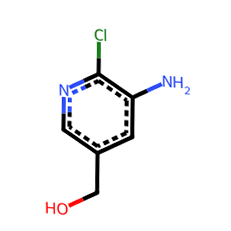 Nc1cc(CO)cnc1Cl